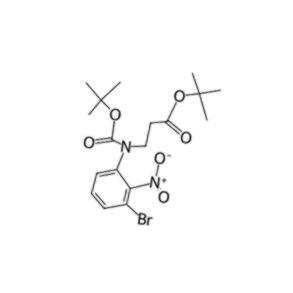 CC(C)(C)OC(=O)CCN(C(=O)OC(C)(C)C)c1cccc(Br)c1[N+](=O)[O-]